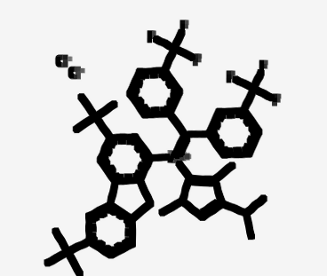 CC1=[C]([Zr+2](=[C](c2cccc(C(F)(F)F)c2)c2cccc(C(F)(F)F)c2)[c]2cc(C(C)(C)C)cc3c2Cc2ccc(C(C)(C)C)cc2-3)C(C)C=C1C(C)C.[Cl-].[Cl-]